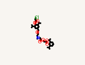 CC(C)c1cc(COCCN(C)CC(=O)OCC(=O)Oc2c(C(C)C)cccc2C(C)C)cc(C(C)C)c1OC(=O)CCl